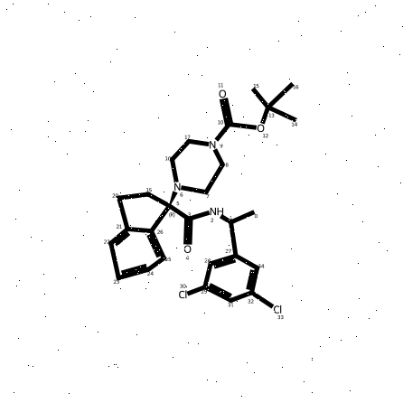 CC(NC(=O)[C@@]1(N2CCN(C(=O)OC(C)(C)C)CC2)CCc2ccccc21)c1cc(Cl)cc(Cl)c1